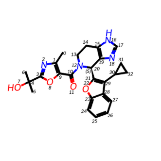 Cc1nc(C(C)(C)O)oc1C(=O)N1CCc2[nH]cnc2[C@H]1c1oc2ccccc2c1C1CC1